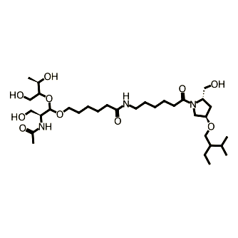 CCC(CO[C@@H]1C[C@@H](CO)N(C(=O)CCCCCNC(=O)CCCCCOC(OC(CO)[C@@H](C)O)[C@H](CO)NC(C)=O)C1)C(C)C